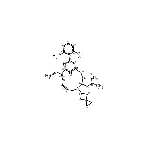 C=C/C1=C\C=C/CN(C2CC3(CC3)C2)C(CC(C)C)CCc2cc(-c3c(C)cccc3C)nc1n2